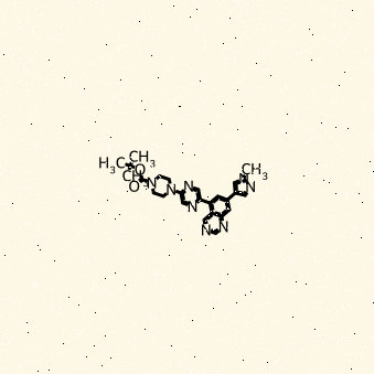 Cn1cc(-c2cc(-c3cnc(N4CCN(C(=O)OC(C)(C)C)CC4)cn3)c3cncnc3c2)cn1